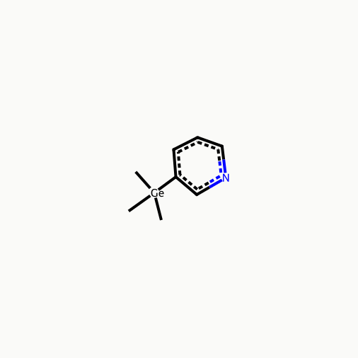 [CH3][Ge]([CH3])([CH3])[c]1cccnc1